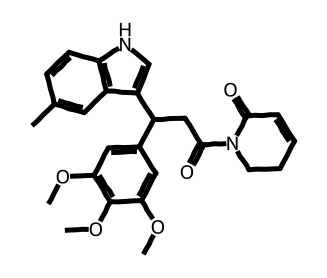 COc1cc(C(CC(=O)N2CCC=CC2=O)c2c[nH]c3ccc(C)cc23)cc(OC)c1OC